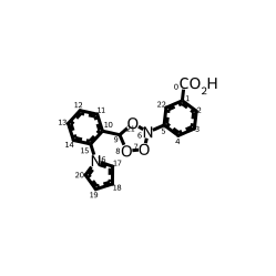 O=C(O)c1cccc(N2OOC(c3ccccc3-n3cccc3)O2)c1